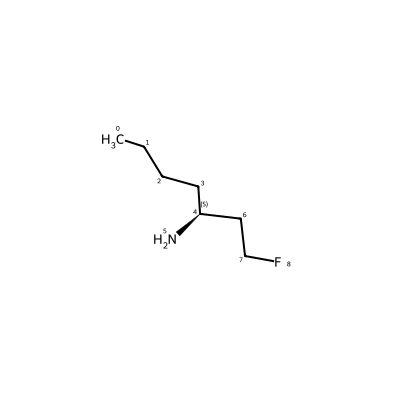 CCCC[C@H](N)CCF